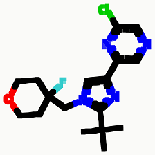 CC(C)(C)c1nc(-c2cncc(Cl)n2)cn1CC1(F)CCOCC1